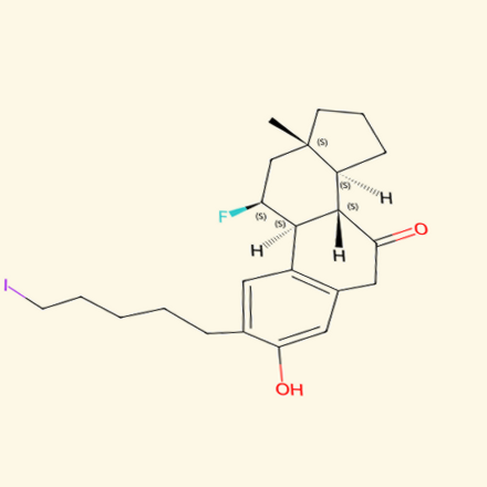 C[C@@]12CCC[C@H]1[C@@H]1C(=O)Cc3cc(O)c(CCCCCI)cc3[C@H]1[C@@H](F)C2